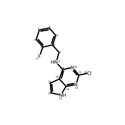 Fc1ccccc1CNc1nc(Cl)nc2[nH]ccc12